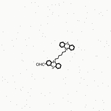 O=Cc1ccc2c(c1)Sc1ccccc1N2CCCCCCN1c2ccccc2Sc2ccccc21